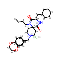 CCCCN1C(=O)[C@@H](CC2CCCCC2)NC(=O)C12CCN(Cc1ccc3c(c1)OCCO3)CC2.Cl